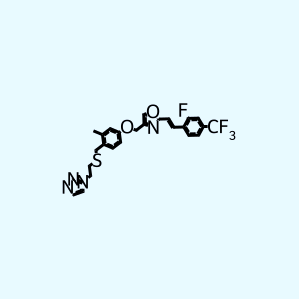 Cc1cc(OCc2coc(C=Cc3ccc(C(F)(F)F)cc3F)n2)ccc1CSCCn1ccnn1